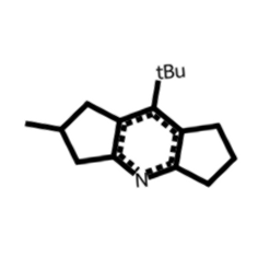 CC1Cc2nc3c(c(C(C)(C)C)c2C1)CCC3